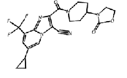 N#Cc1c(C(=O)N2CCC(N3CCOC3=O)CC2)nc2c(C(F)(F)F)cc(C3CC3)cn12